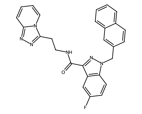 O=C(NCCc1nnc2ccccn12)c1nn(Cc2ccc3ccccc3c2)c2ccc(F)cc12